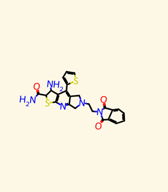 NC(=O)C1Sc2nc3c(c(-c4cccs4)c2C1N)CN(CCN1C(=O)c2ccccc2C1=O)C3